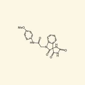 COc1ccc(NC(=O)CN2C(=O)C3(NC(=O)NC3=O)c3ccccc32)cc1